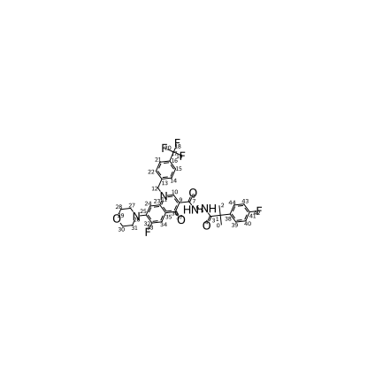 CC(C)(C(=O)NNC(=O)c1cn(Cc2ccc(C(F)(F)F)cc2)c2cc(N3CCOCC3)c(F)cc2c1=O)c1ccc(F)cc1